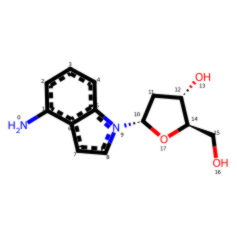 Nc1cccc2c1ccn2[C@@H]1C[C@H](O)[C@@H](CO)O1